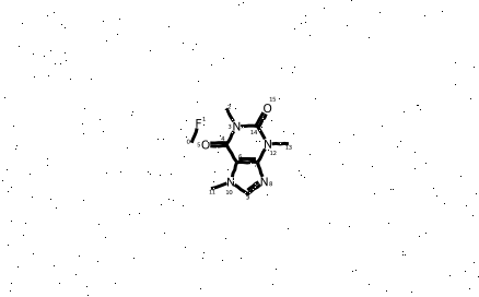 CF.Cn1c(=O)c2c(ncn2C)n(C)c1=O